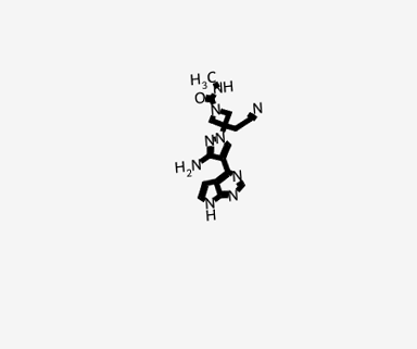 CNC(=O)N1CC(CC#N)(n2cc(-c3ncnc4[nH]ccc34)c(N)n2)C1